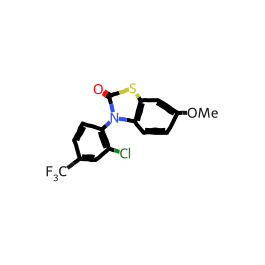 COc1ccc2c(c1)sc(=O)n2-c1ccc(C(F)(F)F)cc1Cl